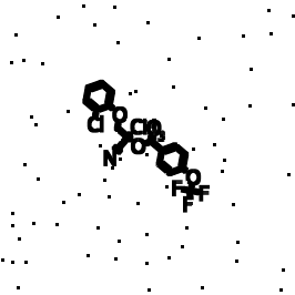 CC(C#N)(COc1ccccc1Cl)OC(=O)c1ccc(OC(F)(F)F)cc1